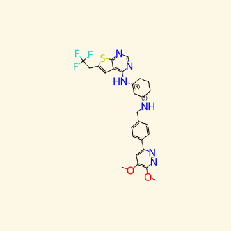 COc1cc(-c2ccc(CN[C@H]3CCC[C@@H](Nc4ncnc5sc(CC(F)(F)F)cc45)C3)cc2)nnc1OC